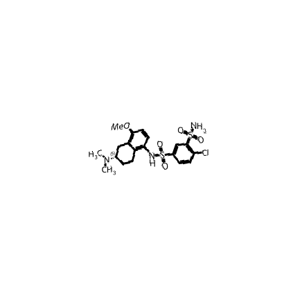 COc1ccc(NS(=O)(=O)c2ccc(Cl)c(S(N)(=O)=O)c2)c2c1C[C@@H](N(C)C)CC2